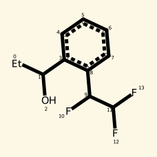 CCC(O)c1ccccc1C(F)C(F)F